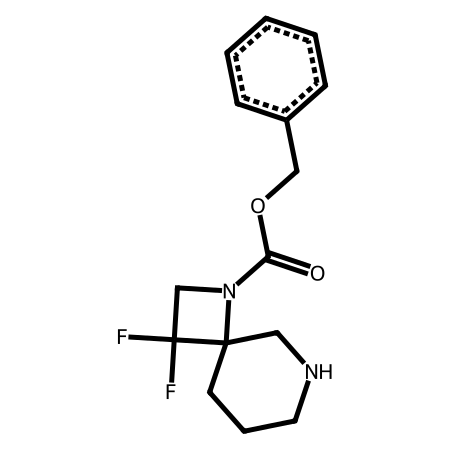 O=C(OCc1ccccc1)N1CC(F)(F)C12CCCNC2